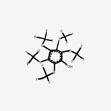 Oc1c(SC(F)(F)F)c(SC(F)(F)F)c(SC(F)(F)F)c(SC(F)(F)F)c1SC(F)(F)F